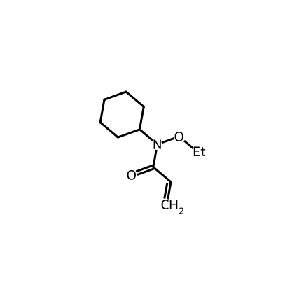 C=CC(=O)N(OCC)C1CCCCC1